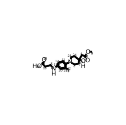 COC(=O)CC1(O)CCN(c2ccc(NCCC(=O)O)cc2F)CC1